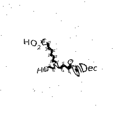 CCCCCCCCCCOC(=O)CCCN(CCO)CCCCCCCC(=O)O